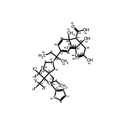 CCOC(C(F)(F)F)(C(F)(F)F)[C@]1(CCc2cccs2)CCN(C(C)(CC)C2=CNC(C)(C(C(=O)O)C(O)(CC(=O)O)C(=O)O)C=C2)C1